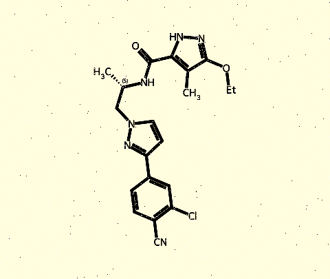 CCOc1n[nH]c(C(=O)N[C@@H](C)Cn2ccc(-c3ccc(C#N)c(Cl)c3)n2)c1C